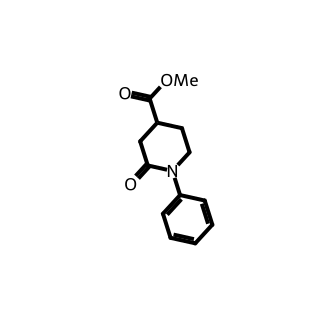 COC(=O)C1CCN(c2ccccc2)C(=O)C1